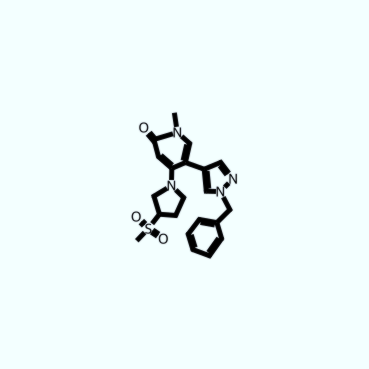 Cn1cc(-c2cnn(Cc3ccccc3)c2)c(N2CCC(S(C)(=O)=O)C2)cc1=O